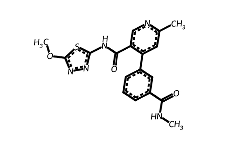 CNC(=O)c1cccc(-c2cc(C)ncc2C(=O)Nc2nnc(OC)s2)c1